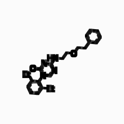 CCc1cccc(CC)c1-n1cnc(NCCOCCc2ccccc2)nc1=O